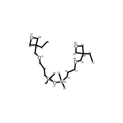 CCC1(COCCC[Si](C)(C)O[Si](C)(C)CCCOCC2(CC)COC2)COC1